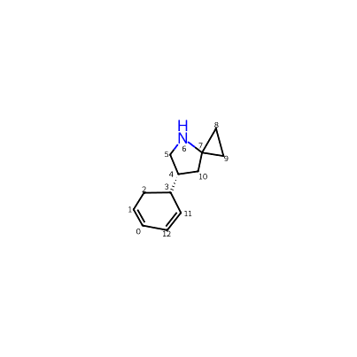 C1=CCC([C@@H]2CNC3(CC3)C2)C=C1